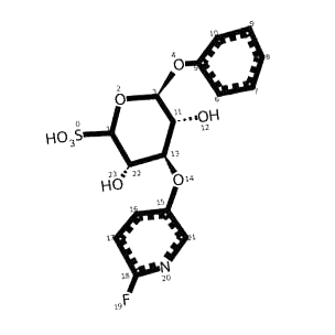 O=S(=O)(O)C1O[C@@H](Oc2ccccc2)[C@H](O)[C@@H](Oc2ccc(F)nc2)[C@@H]1O